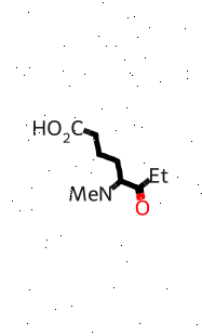 CCC(=O)C(CCCC(=O)O)NC